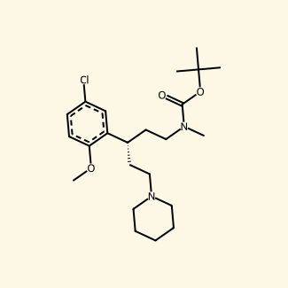 COc1ccc(Cl)cc1[C@@H](CCN1CCCCC1)CCN(C)C(=O)OC(C)(C)C